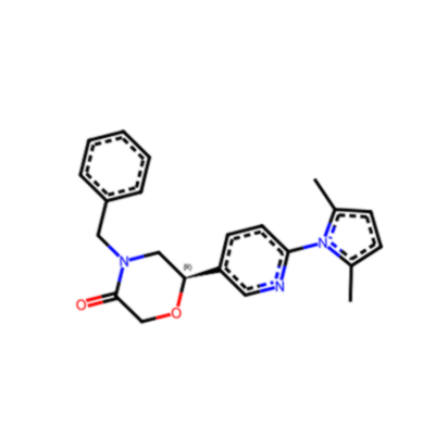 Cc1ccc(C)n1-c1ccc([C@@H]2CN(Cc3ccccc3)C(=O)CO2)cn1